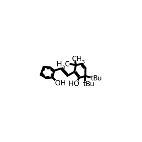 CC1(C)C=CC(C(C)(C)C)(C(C)(C)C)C(O)=C1C=Cc1ccccc1O